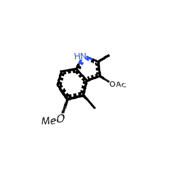 COc1ccc2[nH]c(C)c(OC(C)=O)c2c1C